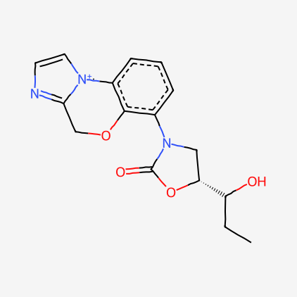 CCC(O)[C@H]1CN(c2cccc3c2OCC2=NC=C[N+]23)C(=O)O1